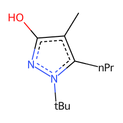 CCCc1c(C)c(O)nn1C(C)(C)C